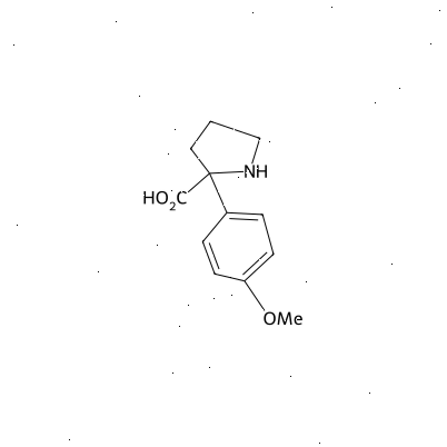 COc1ccc(C2(C(=O)O)CCCN2)cc1